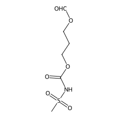 CS(=O)(=O)NC(=O)OCCCOC=O